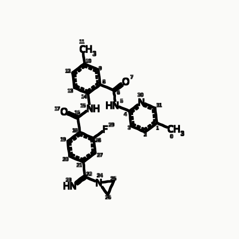 Cc1ccc(NC(=O)c2cc(C)ccc2NC(=O)c2ccc(C(=N)N3CC3)cc2F)nc1